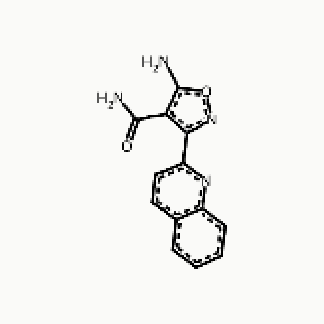 NC(=O)c1c(-c2ccc3ccccc3n2)noc1N